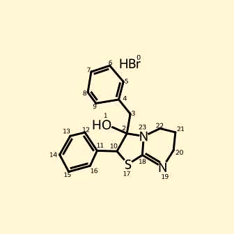 Br.OC1(Cc2ccccc2)C(c2ccccc2)SC2=NCCCN21